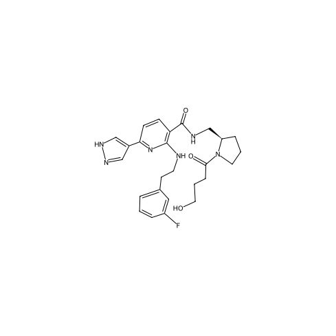 O=C(NC[C@H]1CCCN1C(=O)CCCO)c1ccc(-c2cn[nH]c2)nc1NCCc1cccc(F)c1